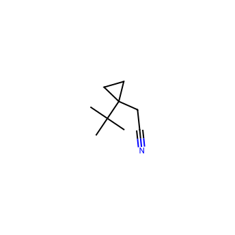 CC(C)(C)C1(CC#N)CC1